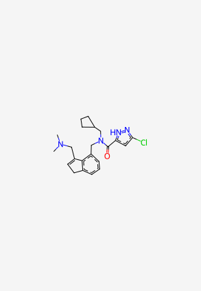 CN(C)CC1=CCc2cccc(CN(CC3CCC3)C(=O)c3cc(Cl)n[nH]3)c21